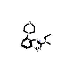 CCN(C)/C(N)=N/c1ccccc1N1CCOCC1